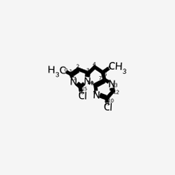 Cc1cc(CC(C)c2cnc(Cl)cn2)nc(Cl)n1